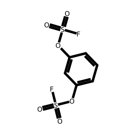 O=S(=O)(F)Oc1cccc(OS(=O)(=O)F)c1